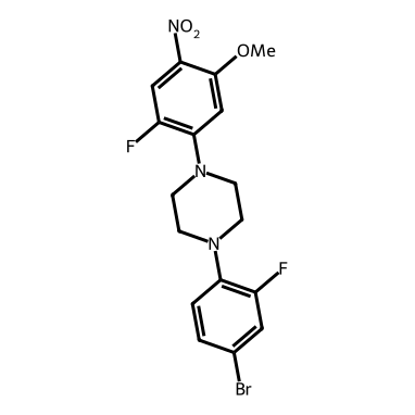 COc1cc(N2CCN(c3ccc(Br)cc3F)CC2)c(F)cc1[N+](=O)[O-]